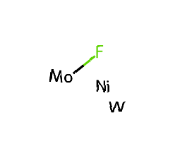 [F][Mo].[Ni].[W]